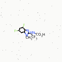 Cn1c(C(NC(=O)O)C(F)(F)F)nc2c(F)cc(F)cc21